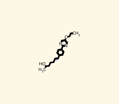 C=CCOc1cnc(-c2ccc(/C=C/CCCC(C)O)cc2)nc1